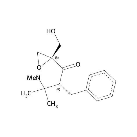 CNC(C)(C)[C@@H](Cc1ccccc1)C(=O)[C@@]1(CO)CO1